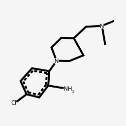 CN(C)CC1CCN(c2ccc(Cl)cc2N)CC1